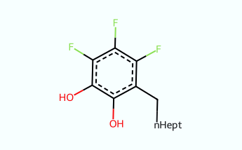 CCCCCCCCc1c(O)c(O)c(F)c(F)c1F